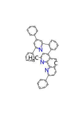 Cc1cc(-c2ccccc2-c2cc(-c3ccccc3)cc(-c3ccccc3)n2)c2ccc3ccc(-c4ccccc4)nc3c2n1